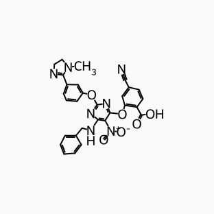 CN1CCN=C1c1cccc(Oc2nc(NCc3ccccc3)c([N+](=O)[O-])c(Oc3cc(C#N)ccc3C(=O)O)n2)c1